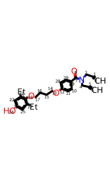 C#CCN(CC#C)C(=O)c1ccc(OCCCCOc2c(CC)cc(O)cc2CC)cc1